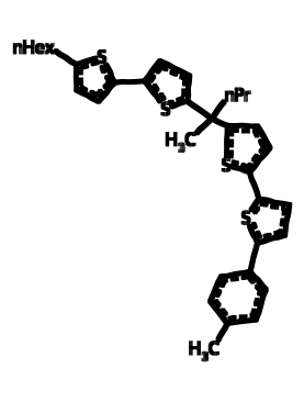 CCCCCCc1ccc(-c2ccc(C(C)(CCC)c3ccc(-c4ccc(-c5ccc(C)cc5)s4)s3)s2)s1